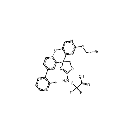 CC(C)(C)COc1cc2c(cn1)Oc1ccc(-c3cccnc3F)cc1C21COC(N)=N1.O=C(O)C(F)(F)F